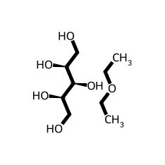 CCOCC.OC[C@@H](O)[C@H](O)[C@@H](O)CO